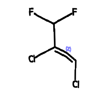 FC(F)/C(Cl)=C/Cl